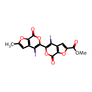 COC(=O)c1cc2c(I)c(-c3oc(=O)c4oc(C)cc4c3I)oc(=O)c2o1